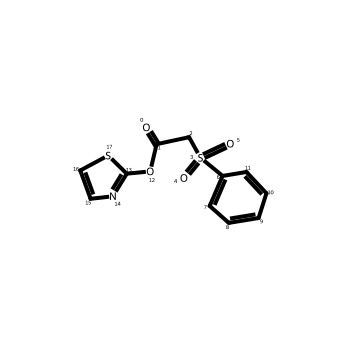 O=C(CS(=O)(=O)c1ccccc1)Oc1nccs1